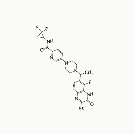 CCc1nc2ccc(C(C)N3CCN(c4ccc(C(=O)NC5CC5(F)F)nc4)CC3)c(F)c2[nH]c1=O